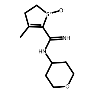 CC1=C(C(=N)NC2CCOCC2)[S+]([O-])CC1